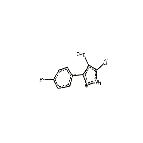 O=Cc1c(-c2ccc(Br)cc2)n[nH]c1Cl